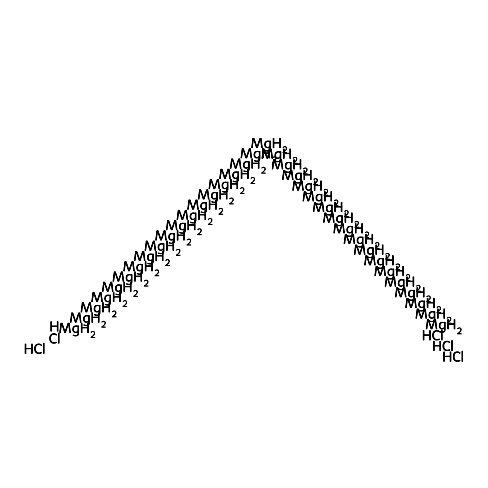 Cl.Cl.Cl.Cl.Cl.[MgH2].[MgH2].[MgH2].[MgH2].[MgH2].[MgH2].[MgH2].[MgH2].[MgH2].[MgH2].[MgH2].[MgH2].[MgH2].[MgH2].[MgH2].[MgH2].[MgH2].[MgH2].[MgH2].[MgH2].[MgH2].[MgH2].[MgH2].[MgH2].[MgH2].[MgH2].[MgH2].[MgH2].[MgH2].[MgH2].[MgH2].[MgH2].[MgH2].[MgH2].[MgH2].[MgH2]